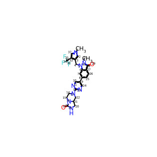 Cn1cc(Cn2c3cc(-c4cnc(N5CCN6C(=O)NCC6C5)nc4)ccc3c(=O)n2C)c(C(F)(F)F)c1